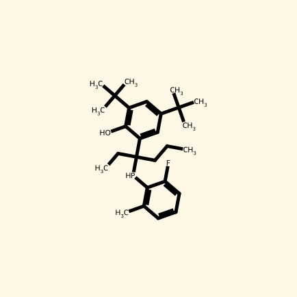 CCCC(CC)(Pc1c(C)cccc1F)c1cc(C(C)(C)C)cc(C(C)(C)C)c1O